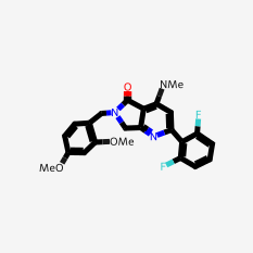 CNc1cc(-c2c(F)cccc2F)nc2c1C(=O)N(Cc1ccc(OC)cc1OC)C2